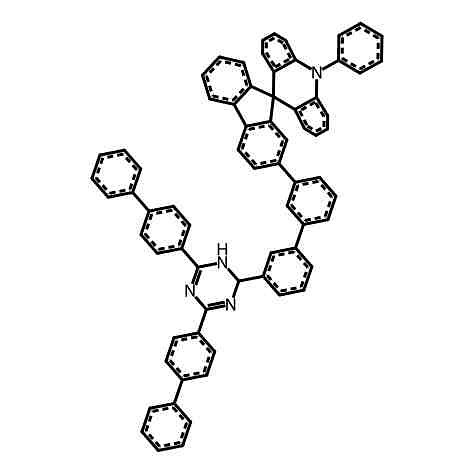 c1ccc(-c2ccc(C3=NC(c4cccc(-c5cccc(-c6ccc7c(c6)C6(c8ccccc8-7)c7ccccc7N(c7ccccc7)c7ccccc76)c5)c4)NC(c4ccc(-c5ccccc5)cc4)=N3)cc2)cc1